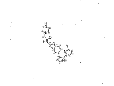 Cc1cccc(-c2[nH]cnc2-c2ccc3nc(NC(=O)CN4CCNCC4)sc3c2)n1